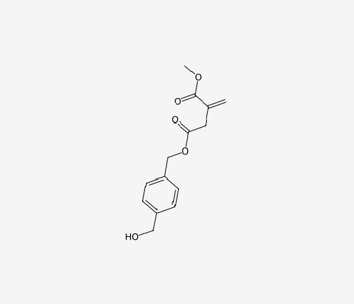 C=C(CC(=O)OCc1ccc(CO)cc1)C(=O)OC